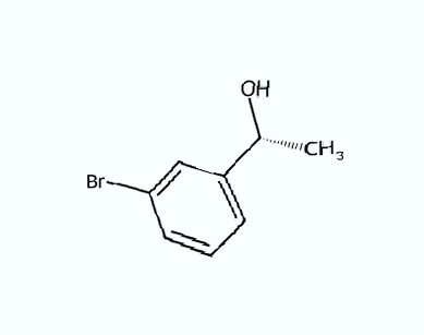 C[C@@H](O)c1cccc(Br)c1